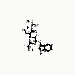 CC(C)C[C@H](NC(=O)[C@H](Cc1c[nH]c2ccccc12)NC(=O)[C@H](C)N)C(=O)N[C@H]([C]=O)C(C)C